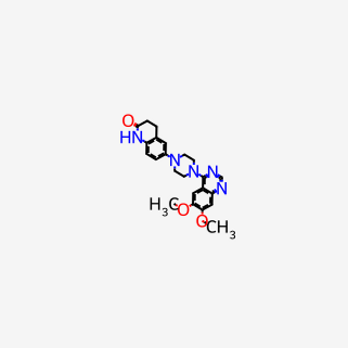 COc1cc2ncnc(N3CCN(c4ccc5c(c4)CCC(=O)N5)CC3)c2cc1OC